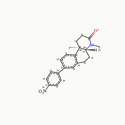 CN1C(=O)CC[C@]2(C)c3ccc(-c4ccc([N+](=O)[O-])cc4)cc3CC[C@@H]12